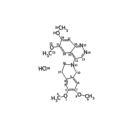 COc1cc2c(cc1OC)CN(c1cnnc3cc(OC)c(OC)cc13)CC2.Cl